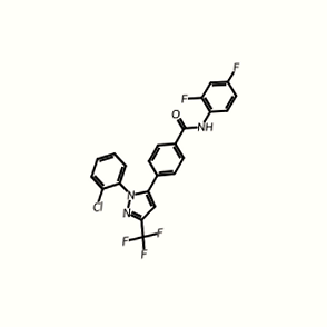 O=C(Nc1ccc(F)cc1F)c1ccc(-c2cc(C(F)(F)F)nn2-c2ccccc2Cl)cc1